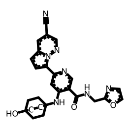 N#Cc1cnn2c(-c3cc(NC45CCC(O)(CC4)CC5)c(C(=O)NCc4ncco4)cn3)ccc2c1